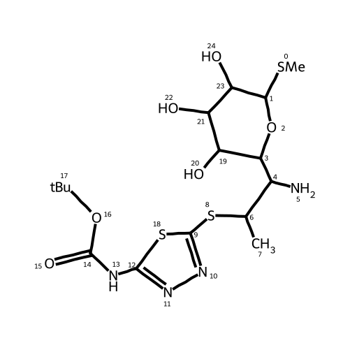 CSC1OC(C(N)C(C)Sc2nnc(NC(=O)OC(C)(C)C)s2)C(O)C(O)C1O